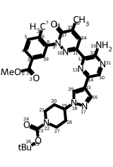 COC(=O)c1ccc(C)c(-n2nc(-c3nc(-c4cnn(C5CCN(C(=O)OC(C)(C)C)CC5)c4)cnc3N)cc(C)c2=O)c1